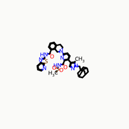 Cc1c(-c2ccc(N3CCc4cccc(C(=O)Nc5nc6cccnc6s5)c4C3)nc2C(=O)NS(C)(=O)=O)cnn1CC12CC3CC(CC(C3)C1)C2